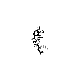 CC(C)C[C@H](N)C(=O)OS(=O)(=O)C(C)c1ccc(Cl)c(Cl)c1Cl